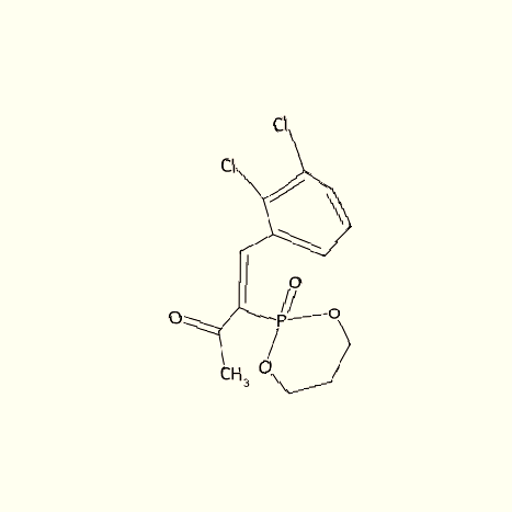 CC(=O)/C(=C/c1cccc(Cl)c1Cl)P1(=O)OCCCO1